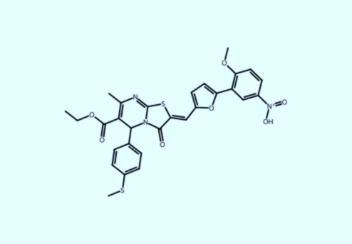 CCOC(=O)C1=C(C)N=c2s/c(=C\c3ccc(-c4cc([N+](=O)O)ccc4OC)o3)c(=O)n2C1c1ccc(SC)cc1